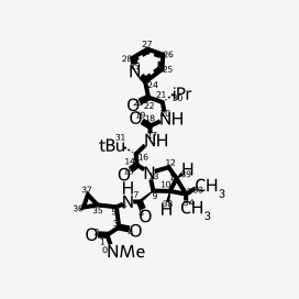 CNC(=O)C(=O)C(NC(=O)[C@@H]1[C@@H]2[C@H](CN1C(=O)[C@@H](NC(=O)N[C@H](C(=O)c1ccccn1)C(C)C)C(C)(C)C)C2(C)C)C1CC1